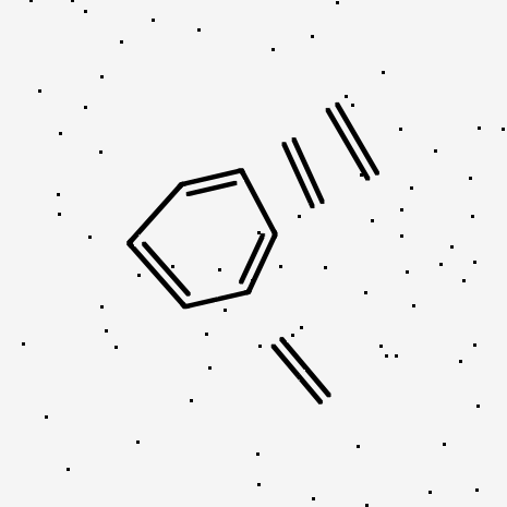 C=C.C=C.C=C.c1ccccc1